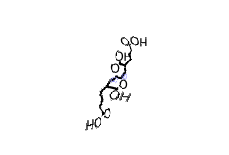 O=C(O)CCCC(/C=C\C=C/C(CCCC(=O)O)C(=O)O)C(=O)O